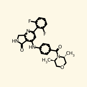 C[C@@H]1COC[C@@H](C)N1C(=O)c1ccc(Nc2cc(-c3c(F)cccc3F)nc3c2C(=O)NC3)cc1